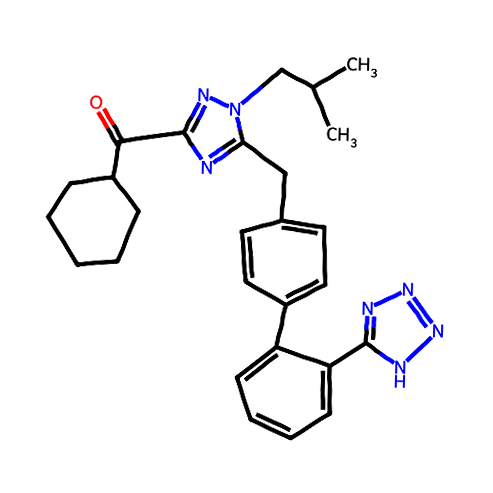 CC(C)Cn1nc(C(=O)C2CCCCC2)nc1Cc1ccc(-c2ccccc2-c2nnn[nH]2)cc1